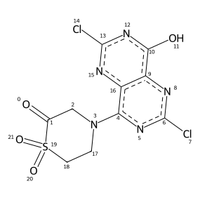 O=C1CN(c2nc(Cl)nc3c(O)nc(Cl)nc23)CCS1(=O)=O